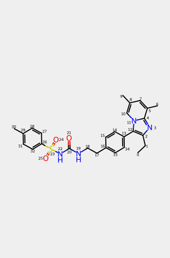 CCc1nc2c(C)cc(C)cn2c1-c1ccc(CCNC(=O)NS(=O)(=O)c2ccc(C)cc2)cc1